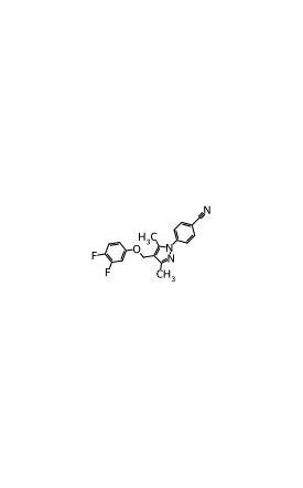 Cc1nn(-c2ccc(C#N)cc2)c(C)c1COc1ccc(F)c(F)c1